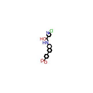 COC(=O)c1ccc(-c2ccc3c(c2)C[C@@H](NC[C@H](O)c2ccc(Cl)nc2)CC3)cc1